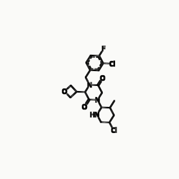 CC1CC(Cl)CNC1N1CC(=O)N(Cc2ccc(F)c(Cl)c2)C(C2COC2)C1=O